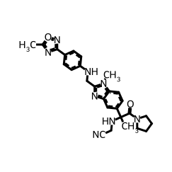 Cc1nc(-c2ccc(NCc3nc4cc(C(C)(NCC#N)C(=O)N5CCCC5)ccc4n3C)cc2)no1